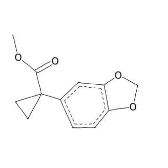 COC(=O)C1(c2ccc3c(c2)OCO3)CC1